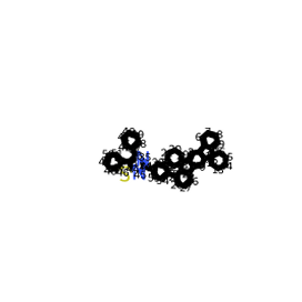 C1=C2C(=CC3c4ccccc4C4(CCCCC4)C13)C1(CCCCC1)c1c2cccc1-c1ccc(-c2nc(-c3ccccc3)c3c(n2)sc2ccccc23)cc1